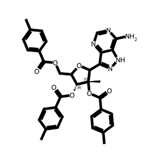 Cc1ccc(C(=O)OCC2OC(c3n[nH]c4c(N)ncnc34)[C@](C)(OC(=O)c3ccc(C)cc3)[C@@H]2OC(=O)c2ccc(C)cc2)cc1